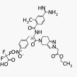 CCOC(=O)Cn1cc2c(n1)CCN(C(=O)[C@H](Cc1ccc([N+](=O)[O-])cc1)NC(=O)c1ccc(C(=N)N)cc1C)C2.O=C(O)C(F)(F)F